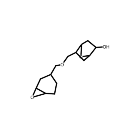 OC1CC2OC1CC2COCC1CCC2OC2C1